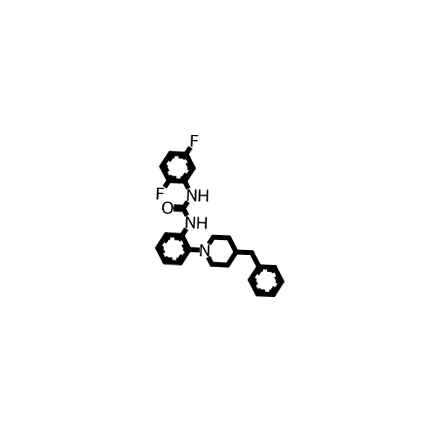 O=C(Nc1cc(F)ccc1F)Nc1ccccc1N1CCC(Cc2ccccc2)CC1